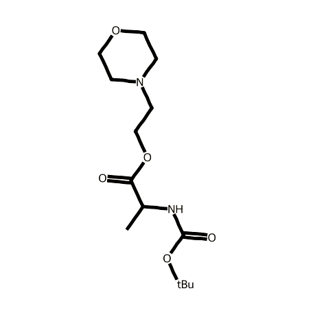 CC(NC(=O)OC(C)(C)C)C(=O)OCCN1CCOCC1